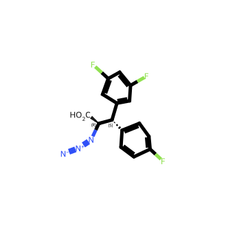 [N-]=[N+]=N[C@@H](C(=O)O)[C@@H](c1ccc(F)cc1)c1cc(F)cc(F)c1